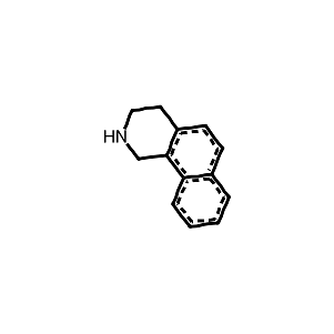 c1ccc2c3c(ccc2c1)CCNC3